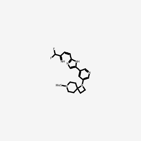 CSN1CCC2(CC1)CCN2c1cncc(-c2cnc(/C=C\C(=N)C(F)F)[nH]2)c1